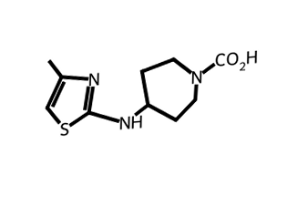 Cc1csc(NC2CCN(C(=O)O)CC2)n1